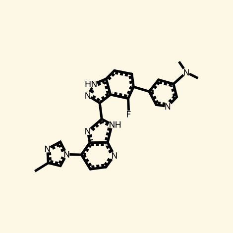 Cc1cn(-c2ccnc3[nH]c(-c4n[nH]c5ccc(-c6cncc(N(C)C)c6)c(F)c45)nc23)cn1